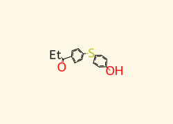 CCC(=O)c1ccc(Sc2ccc(O)cc2)cc1